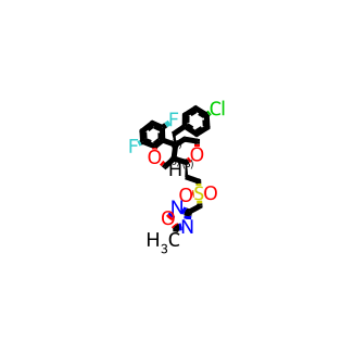 Cc1nc(CS(=O)(=O)CC[C@@H]2OCC[C@@]3(Cc4ccc(Cl)cc4)c4c(F)ccc(F)c4OC[C@@H]23)no1